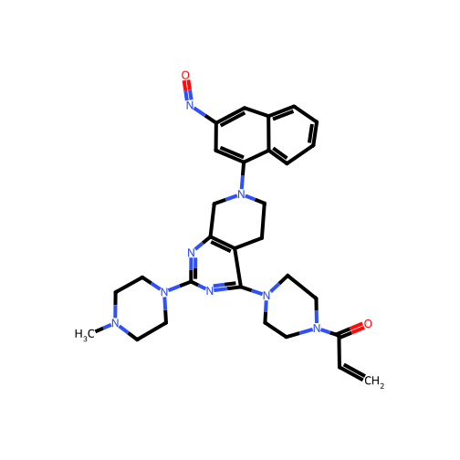 C=CC(=O)N1CCN(c2nc(N3CCN(C)CC3)nc3c2CCN(c2cc(N=O)cc4ccccc24)C3)CC1